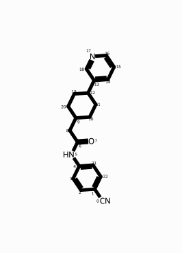 N#Cc1ccc(NC(=O)CC2CCC(c3cccnc3)CC2)cc1